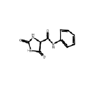 O=C1NC(=O)C(C(=O)Nc2ccccc2)N1